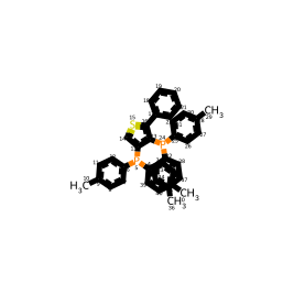 Cc1ccc(P(c2ccc(C)cc2)c2csc(-c3ccccc3)c2P(c2ccc(C)cc2)c2ccc(C)cc2)cc1